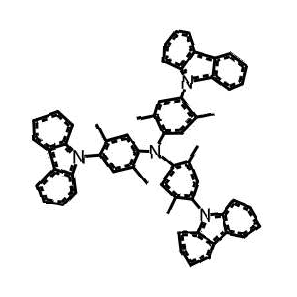 Cc1cc(-n2c3ccccc3c3ccccc32)c(C)cc1N(c1cc(C)c(-n2c3ccccc3c3ccccc32)cc1C)c1cc(C)c(-n2c3ccccc3c3ccccc32)cc1C